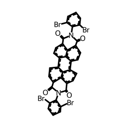 O=C1c2ccc3c4ccc5c6c(ccc(c7ccc(c2c37)C(=O)N1c1c(Br)cccc1Br)c64)C(=O)N(c1c(Br)cccc1Br)C5=O